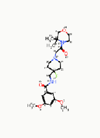 COc1cc(OC)cc(C(=O)NCC2(F)CCN(CC(=O)N3CCOCC3(C)C)CC2)c1